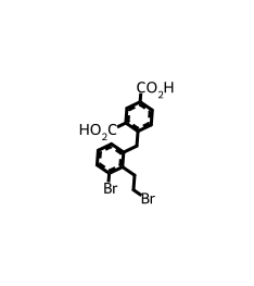 O=C(O)c1ccc(Cc2cccc(Br)c2CCBr)c(C(=O)O)c1